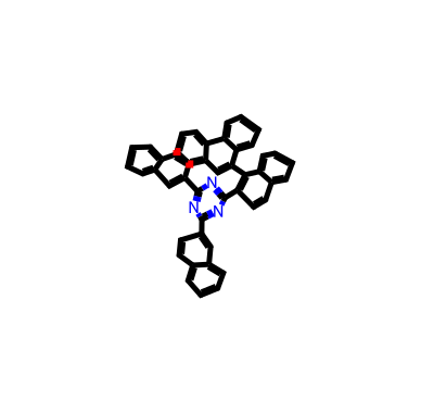 c1ccc2cc(-c3nc(-c4ccc5ccccc5c4)nc(-c4ccc5ccccc5c4-c4cc5ccccc5c5ccccc45)n3)ccc2c1